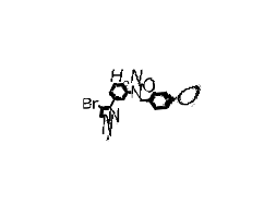 COc1ccc(CN(C(N)=O)c2cccc(-c3nn(C)cc3Br)c2)cc1